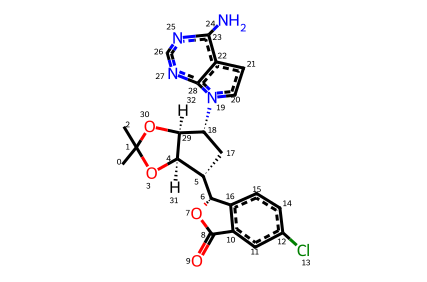 CC1(C)O[C@@H]2[C@@H]([C@H]3OC(=O)c4cc(Cl)ccc43)C[C@@H](n3ccc4c(N)ncnc43)[C@@H]2O1